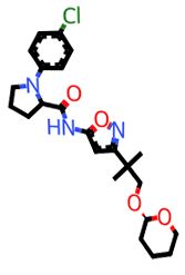 CC(C)(CO[C@H]1CCCCO1)c1cc(NC(=O)C2CCCN2c2ccc(Cl)cc2)on1